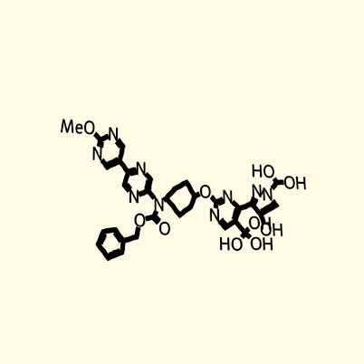 COc1ncc(-c2cnc(N(C(=O)OCc3ccccc3)C3CCC(Oc4ncc(C(O)(O)O)c(-c5nn(C(O)O)cc5O)n4)CC3)cn2)cn1